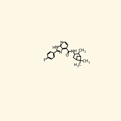 CC1C(NC(=O)c2ccnc3[nH]c(-c4ccc(F)cc4)nc23)CC2CC1C2(C)C